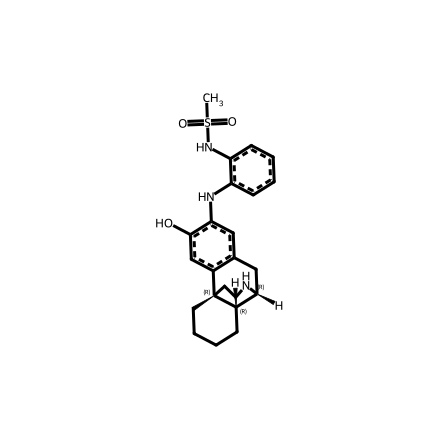 CS(=O)(=O)Nc1ccccc1Nc1cc2c(cc1O)[C@@]13CCCC[C@H]1[C@@H](C2)NCC3